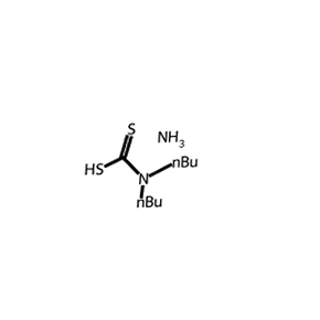 CCCCN(CCCC)C(=S)S.N